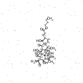 CCCCOC(=O)/C=C/c1ccc2c(c1O)C(=O)C1=C(O)[C@]3(O)C(=O)C(C(N)=O)=C(O)[C@@H](N(C)C)[C@@H]3[C@@H](O)[C@@H]1[C@H]2C